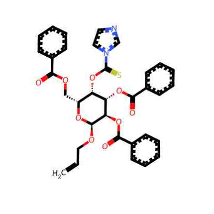 C=CCO[C@H]1O[C@H](COC(=O)c2ccccc2)[C@H](OC(=S)n2ccnc2)[C@H](OC(=O)c2ccccc2)[C@H]1OC(=O)c1ccccc1